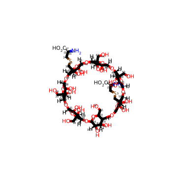 N[C@H](CSCC1OC2O[C@@H]3C(CO)OC(O[C@@H]4C(CO)O[C@@H](O[C@@H]5C(CO)O[C@H](O[C@@H]6C(CSC[C@@H](N)C(=O)O)O[C@H](O[C@@H]7C(CO)O[C@@H](O[C@@H]8C(CO)O[C@@H](O[C@H]1[C@H](O)C2O)C(O)[C@H]8O)C(O)[C@H]7O)C(O)[C@H]6O)C(O)[C@H]5O)C(O)[C@H]4O)[C@@H](O)[C@H]3O)C(=O)O